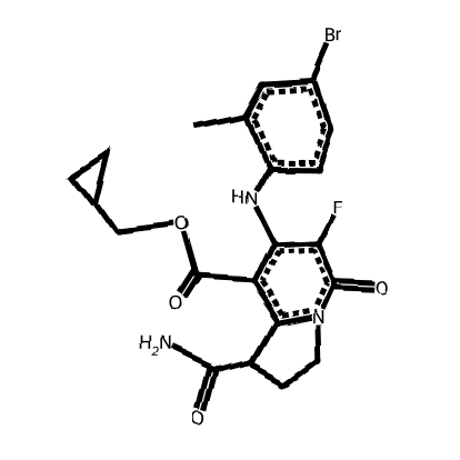 Cc1cc(Br)ccc1Nc1c(C(=O)OCC2CC2)c2n(c(=O)c1F)CCC2C(N)=O